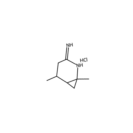 CC1CC(=N)NC2(C)CC12.Cl